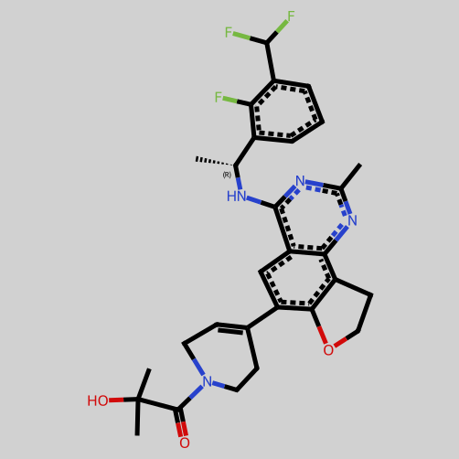 Cc1nc(N[C@H](C)c2cccc(C(F)F)c2F)c2cc(C3=CCN(C(=O)C(C)(C)O)CC3)c3c(c2n1)CCO3